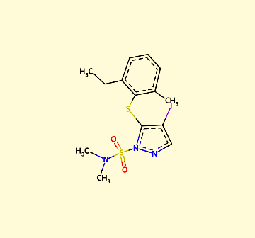 CCc1cccc(C)c1Sc1c(I)cnn1S(=O)(=O)N(C)C